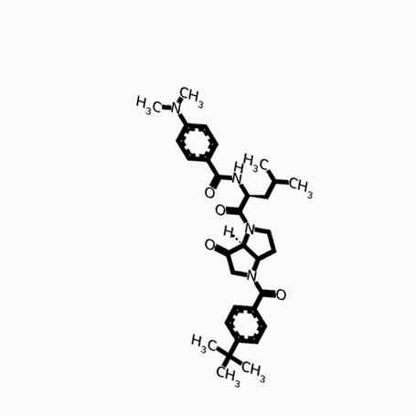 CC(C)C[C@H](NC(=O)c1ccc(N(C)C)cc1)C(=O)N1CCC2[C@H]1C(=O)CN2C(=O)c1ccc(C(C)(C)C)cc1